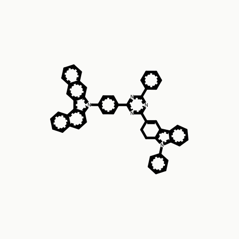 C1=C(c2nc(-c3ccccc3)nc(-c3ccc(-n4c5cc6ccccc6cc5c5c6ccccc6ccc54)cc3)n2)CCc2c1c1ccccc1n2-c1ccccc1